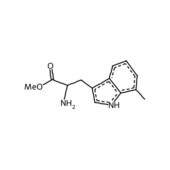 COC(=O)C(N)Cc1c[nH]c2c(C)cccc12